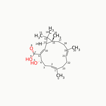 C/C1=C\C[C@H](O)/C(C(=O)O)=C/[C@H]2C(C)(C)[C@]2(C)CC/C(C)=C/CC1